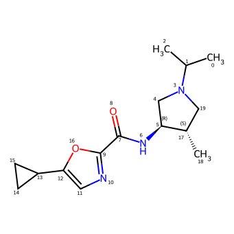 CC(C)N1C[C@H](NC(=O)c2ncc(C3CC3)o2)[C@@H](C)C1